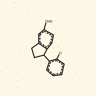 O=Cc1ccc2c(c1)CCC2c1ccccc1Cl